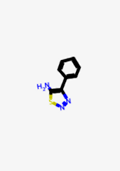 Nc1snnc1-c1ccccc1